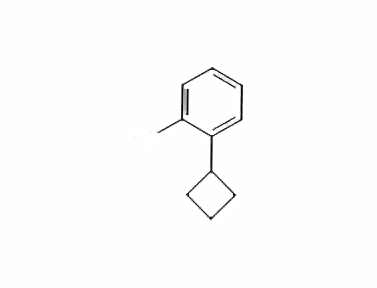 Pc1ccccc1C1CCC1